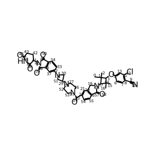 CC1(C)C(Oc2ccc(C#N)c(Cl)c2)C(C)(C)C1N1Cc2cc(C(=O)N3CCN(C4CN(c5ccc6c(c5)C(=O)N(C5CCC(=O)NC5=O)C6=O)C4)CC3)ccc2C1=O